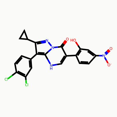 O=c1c(-c2ccc([N+](=O)[O-])cc2O)c[nH]c2c(-c3ccc(Cl)c(Cl)c3)c(C3CC3)nn12